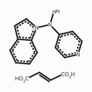 CCCN(c1ccncc1)n1ccc2ccccc21.O=C(O)C=CC(=O)O